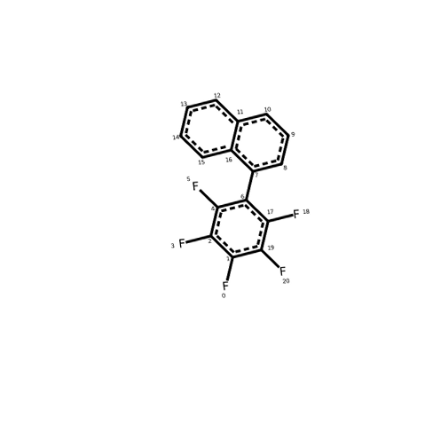 Fc1c(F)c(F)c(-c2cccc3ccccc23)c(F)c1F